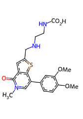 COc1ccc(-c2cn(C)c(=O)c3cc(CNCCNC(=O)O)sc23)cc1OC